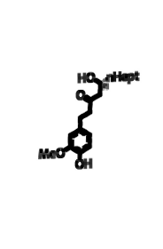 CCCCCCC[C@@H](O)CC(=O)CCc1ccc(O)c(OC)c1